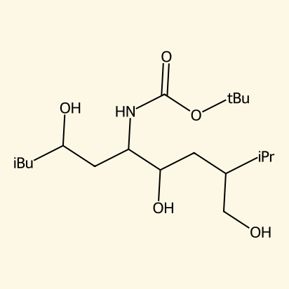 CCC(C)C(O)CC(NC(=O)OC(C)(C)C)C(O)CC(CO)C(C)C